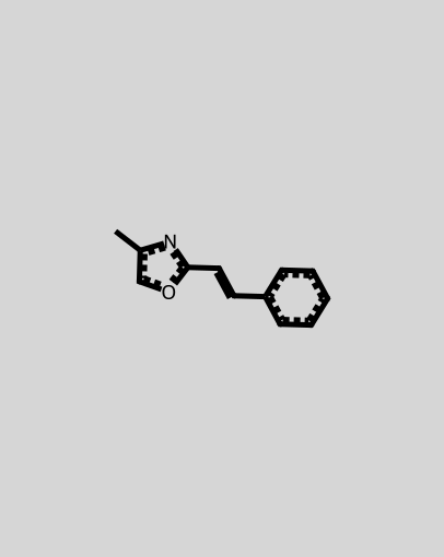 Cc1coc(C=Cc2ccccc2)n1